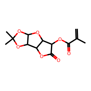 C=C(C)C(=O)OC1C(=O)OC2C3OC(C)(C)OC3OC12